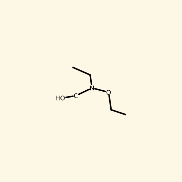 CCON(CC)CO